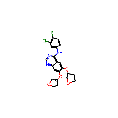 Fc1ccc(Nc2ncnc3cc(O[C@@H]4CCOC4)c(O[C@@H]4CCOC4)cc23)cc1Cl